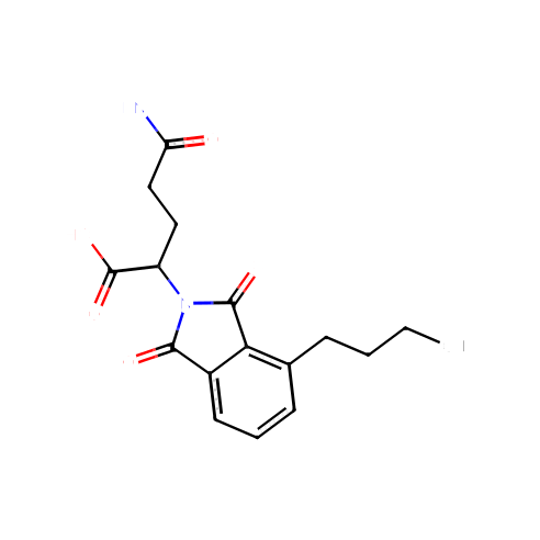 CCCCc1cccc2c1C(=O)N(C(CCC(N)=O)C(=O)O)C2=O